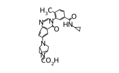 Cc1ccc(C(=O)NC2CC2)cc1-n1cnc2ccc(N3CC4CC3CN4C(=O)O)cc2c1=O